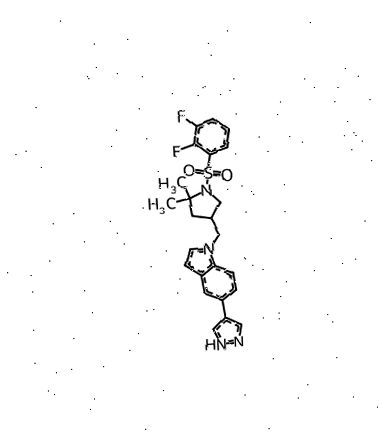 CC1(C)CC(Cn2ccc3cc(-c4cn[nH]c4)ccc32)CN1S(=O)(=O)c1cccc(F)c1F